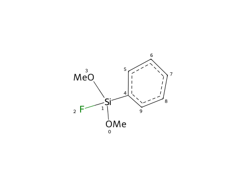 CO[Si](F)(OC)c1ccccc1